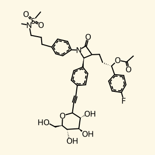 CC(=O)O[C@@H](CCC1C(=O)N(c2ccc(CCCN(C)S(C)(=O)=O)cc2)[C@@H]1c1ccc(C#CC2O[C@H](CO)[C@@H](O)[C@H](O)[C@H]2O)cc1)c1ccc(F)cc1